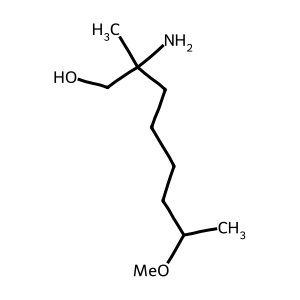 COC(C)CCCCC(C)(N)CO